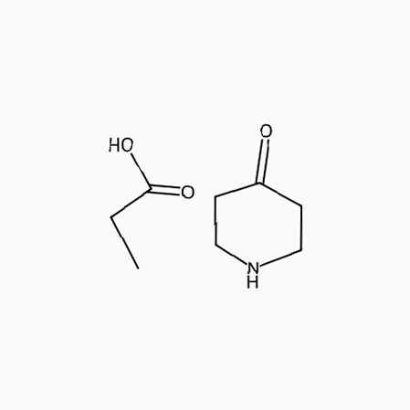 CCC(=O)O.O=C1CCNCC1